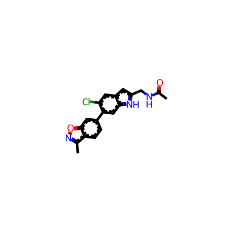 CC(=O)NCc1cc2cc(Cl)c(-c3ccc4c(C)noc4c3)cc2[nH]1